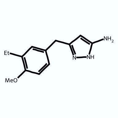 CCc1cc(Cc2cc(N)[nH]n2)ccc1OC